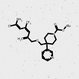 C=C(/C=C(\C=C(/N)Cl)C(F)(F)F)COCC1(c2cccnc2)CCN(C(=O)OC(C)(C)C)CC1